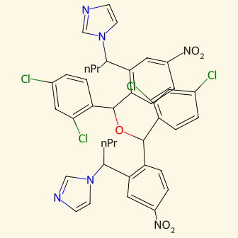 CCCC(c1cc([N+](=O)[O-])ccc1C(OC(c1ccc(Cl)cc1Cl)c1ccc([N+](=O)[O-])cc1C(CCC)n1ccnc1)c1ccc(Cl)cc1Cl)n1ccnc1